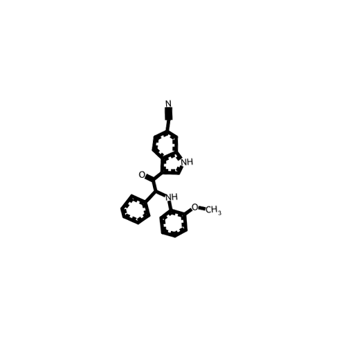 COc1ccccc1NC(C(=O)c1c[nH]c2cc(C#N)ccc12)c1ccccc1